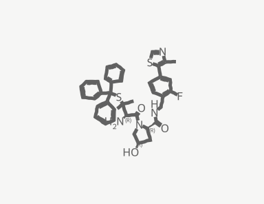 Cc1ncsc1-c1ccc(CNC(=O)[C@H]2C[C@@H](O)CN2C(=O)[C@@H](N)C(C)(C)SC(c2ccccc2)(c2ccccc2)c2ccccc2)c(F)c1